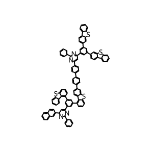 c1ccc(-c2nc(-c3ccc(-c4ccc(-c5ccc6c(c5)sc5cccc(-c7cc(-c8cc(-c9ccc%10ccccc%10c9)nc(-c9ccccc9)n8)cc(-c8cccc9sc%10ccccc%10c89)c7)c56)cc4)cc3)cc(-c3cc(-c4ccc5c(c4)sc4ccccc45)cc(-c4ccc5c(c4)sc4ccccc45)c3)n2)cc1